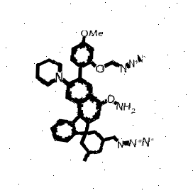 COc1ccc(-c2cc3c(ON)cc4c(c3cc2N2CCCCC2)-c2ccccc2C42CC(C)CC(CN=[N+]=[N-])C2)c(OCN=[N+]=[N-])c1